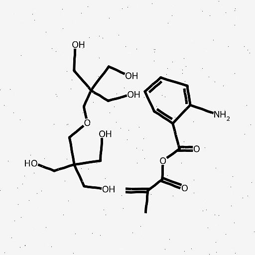 C=C(C)C(=O)OC(=O)c1ccccc1N.OCC(CO)(CO)COCC(CO)(CO)CO